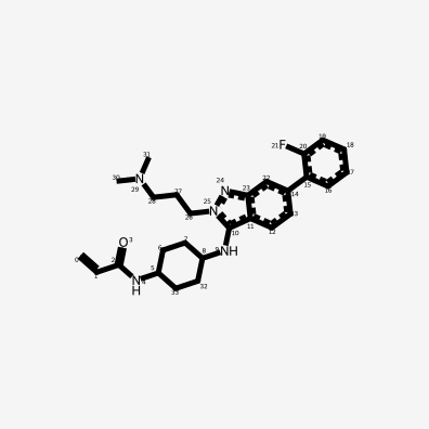 C=CC(=O)NC1CCC(Nc2c3ccc(-c4ccccc4F)cc3nn2CCCN(C)C)CC1